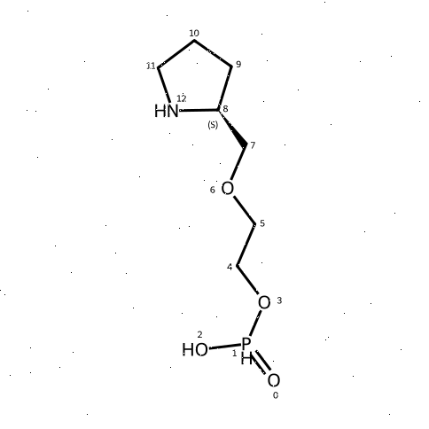 O=[PH](O)OCCOC[C@@H]1CCCN1